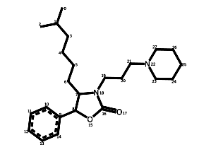 CC(C)CCCCC1C(c2ccccc2)OC(=O)N1CCCN1CCCCC1